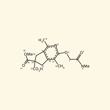 CNC(=O)COc1nc(C)c2c(c1C)CC(C(=O)O)(C(=O)OC)C2